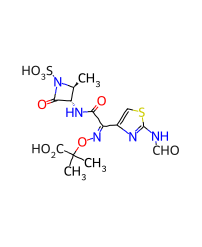 C[C@H]1[C@H](NC(=O)C(=NOC(C)(C)C(=O)O)c2csc(NC=O)n2)C(=O)N1S(=O)(=O)O